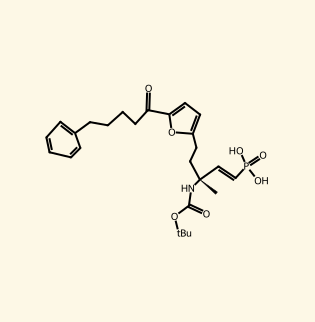 CC(C)(C)OC(=O)N[C@@](C)(/C=C/P(=O)(O)O)CCc1ccc(C(=O)CCCCc2ccccc2)o1